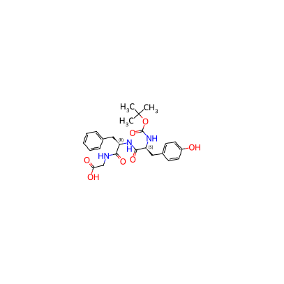 CC(C)(C)OC(=O)N[C@@H](Cc1ccc(O)cc1)C(=O)N[C@H](Cc1ccccc1)C(=O)NCC(=O)O